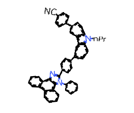 CCCn1c2ccc(-c3ccc(C#N)cc3)cc2c2cc(-c3ccc(-c4nc5c6ccccc6c6ccccc6c5n4-c4ccccc4)cc3)ccc21